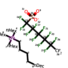 CCCCCCCCCCCCCC[P+](CCCCCC)(CCCCCC)CCCCCC.O=S(=O)([O-])C(F)(F)C(F)(F)C(F)(F)C(F)(F)C(F)(F)C(F)(F)F